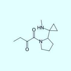 CCC(=O)C(=O)N1CCCC1C1(NC)CC1